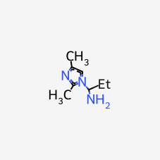 CCC(N)n1cc(C)nc1C